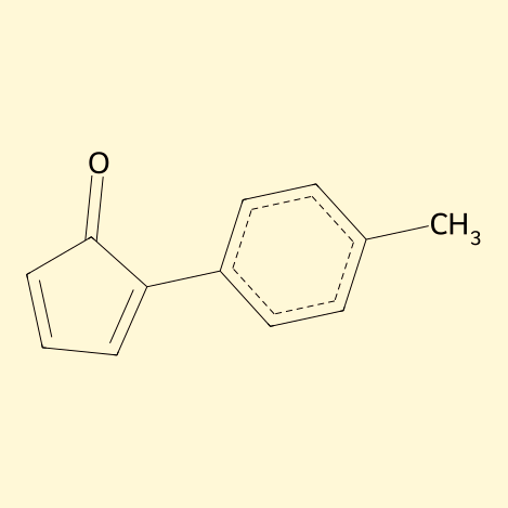 Cc1ccc(C2=CC=CC2=O)cc1